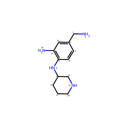 NCc1ccc(NC2CCCNC2)c(N)c1